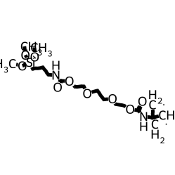 [CH2]C([CH2])(C)NC(=O)OCCOCCOCCOC(=O)NCCC[Si](OC)(OC)OC